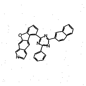 c1ccc(-c2nc(-c3ccc4ccccc4c3)nc(-c3cccc4oc5cc6cnccc6cc5c34)n2)cc1